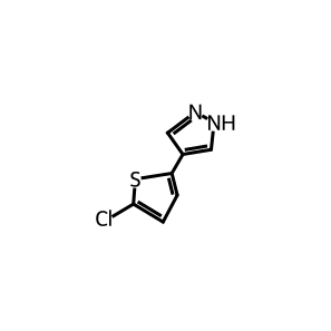 Clc1ccc(-c2cn[nH]c2)s1